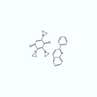 O=C1C=C(N2CC2)C(=O)C(N2CC2)=C1N1CC1.c1ccc(-c2ccc3ccccc3n2)cc1